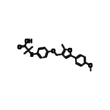 COc1ccc(-c2cc(COc3ccc(SC(C)(C)C(=O)O)cc3)c(C)o2)cc1